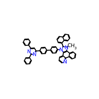 CN1c2c(c3cccnc3c3ccccc23)N(c2ccc(-c3ccc(-c4cc(-c5ccccc5)nc(-c5ccccc5)n4)cc3)cc2)C1c1cccc2ccccc12